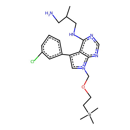 CC(CN)CNc1ncnc2c1c(-c1cccc(Cl)c1)cn2COCC[Si](C)(C)C